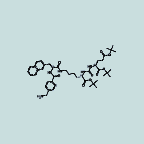 CC(C)(C)OC(=O)CC[C@H](NC(=O)N[C@@H](CCCCNC(=O)[C@H](Cc1ccc2ccccc2c1)NC(=O)c1ccc(CN)cn1)C(=O)OC(C)(C)C)C(=O)OC(C)(C)C